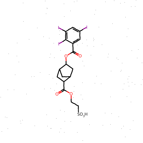 O=C(OC1CC2CC1CC2C(=O)OCCS(=O)(=O)O)c1cc(I)cc(I)c1I